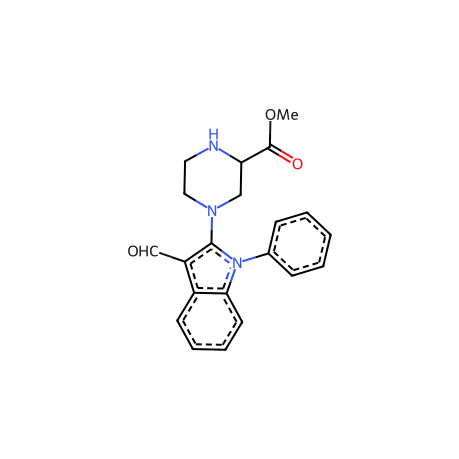 COC(=O)C1CN(c2c(C=O)c3ccccc3n2-c2ccccc2)CCN1